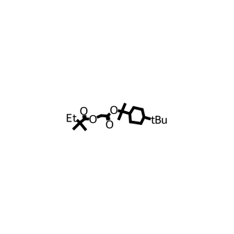 CCC(C)(C)C(=O)OCC(=O)OC(C)(C)C1CCC(C(C)(C)C)CC1